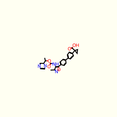 Cc1noc(-c2ccc(-c3ccc(C4(C(=O)O)CC4)cc3)cc2)c1NC(=O)OC(C)c1cnccn1